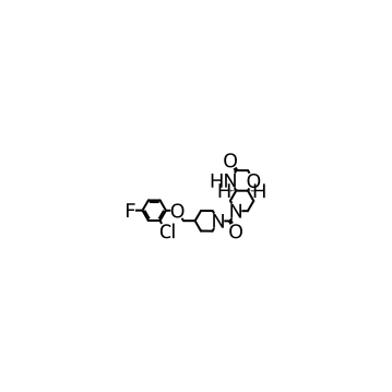 O=C1CO[C@H]2CCN(C(=O)N3CCC(COc4ccc(F)cc4Cl)CC3)C[C@H]2N1